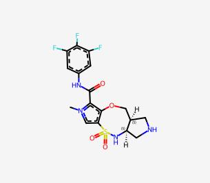 Cn1cc2c(c1C(=O)Nc1cc(F)c(F)c(F)c1)OC[C@H]1CNC[C@H]1NS2(=O)=O